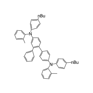 CCCCc1ccc(N(c2ccc(-c3ccc(N(c4ccc(CCCC)cc4)c4ccccc4C)cc3-c3ccccc3)cc2)c2ccccc2C)cc1